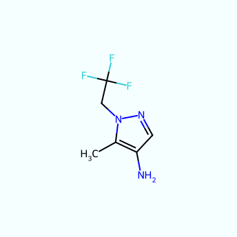 Cc1c(N)cnn1CC(F)(F)F